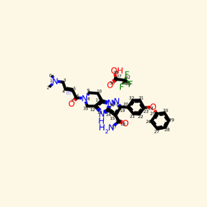 CN(C)C/C=C/C(=O)N1CCc2c([nH]c3c(C(N)=O)c(-c4ccc(Oc5ccccc5)cc4)nn23)C1.O=C(O)C(F)(F)F